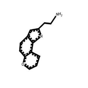 NCCc1cc2ccc3occcc3c2n1